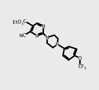 CCOC(=O)c1cnc(N2CCN(c3ccc(OC(F)(F)F)cc3)CC2)nc1C#N